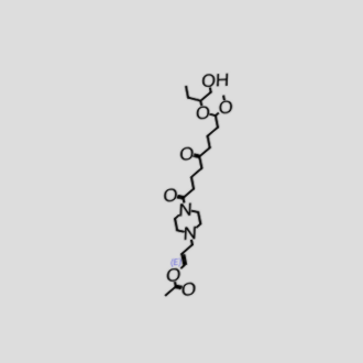 CCC(CO)OC(CCCC(=O)CCCC(=O)N1CCN(C/C=C/OC(C)=O)CC1)OC